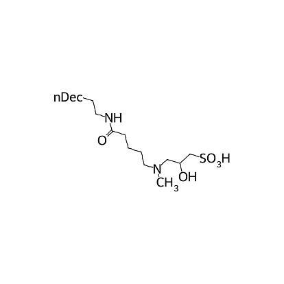 CCCCCCCCCCCCNC(=O)CCCCN(C)CC(O)CS(=O)(=O)O